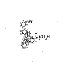 CCCc1cccc(-c2ccc(CC(N)(c3cccc(NCC(=O)O)n3)S(=O)(=O)c3ccccn3)cc2)c1